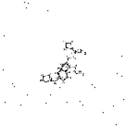 CCn1c(CCN(C)C2CCC2)nc2cc(CN3CCCC3)ccc21